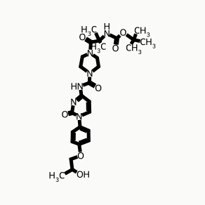 CC(O)COc1ccc(-n2ccc(NC(=O)N3CCN(C(=O)C(C)(C)NC(=O)OC(C)(C)C)CC3)nc2=O)cc1